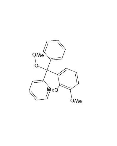 COOC(c1ccccc1)(c1ccccc1)c1cccc(OC)c1OC